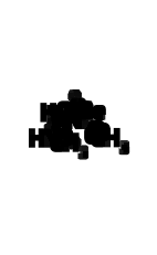 COC[C@H]1CCCN1CCc1ccc2[nH]c(C)c(C(=O)OCc3ccccc3)c2c1.Cc1[nH]c2ccc(CCOS(C)(=O)=O)cc2c1C(=O)OCc1ccccc1